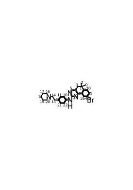 CC1(C)Cc2cnc(Nc3ccc(CCN4CCCCC4)cc3)nc2-c2cc(Br)ccc21